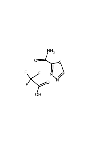 NC(=O)c1nncs1.O=C(O)C(F)(F)F